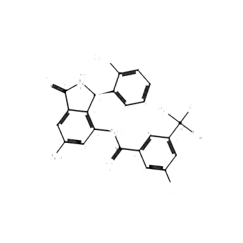 Cc1ccccc1[C@@H]1NC(=O)c2cc(N)cc(NC(=O)c3cc(F)cc(C(F)(F)F)c3)c21